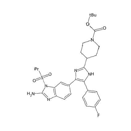 CC(C)S(=O)(=O)n1c(N)nc2ccc(-c3nc(C4CCN(C(=O)OC(C)(C)C)CC4)[nH]c3-c3ccc(F)cc3)cc21